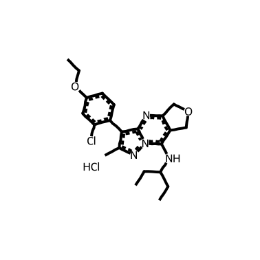 CCOc1ccc(-c2c(C)nn3c(NC(CC)CC)c4c(nc23)COC4)c(Cl)c1.Cl